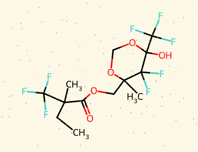 CCC(C)(C(=O)OCC1(C)OCOC(O)(C(F)(F)F)C1(F)F)C(F)(F)F